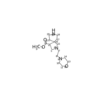 COC(=O)C1CN(CCN2CCOCC2)CC12CCNCC2